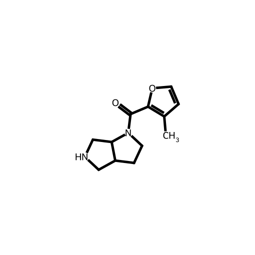 Cc1ccoc1C(=O)N1CCC2CNCC21